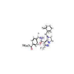 COC(=O)c1ccc([C@H](C)NC(=O)c2c(C(F)(F)F)nn3c2N(Cc2ccccc2C)CC3)cc1